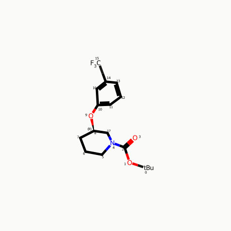 CC(C)(C)OC(=O)N1CCC[C@@H](Oc2cccc(C(F)(F)F)c2)C1